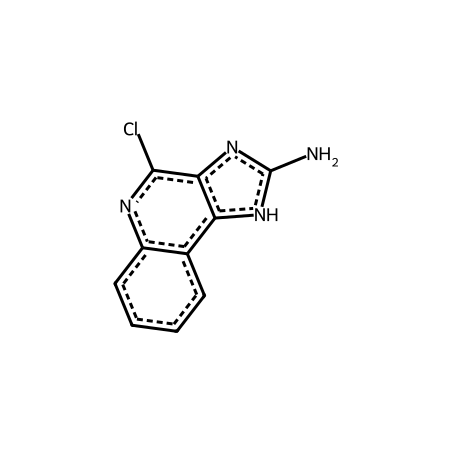 Nc1nc2c(Cl)nc3ccccc3c2[nH]1